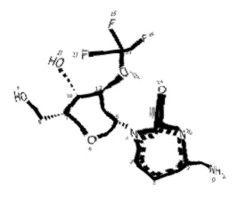 Nc1ccn([C@@H]2O[C@H](CO)[C@H](O)[C@H]2OC(F)(F)F)c(=O)n1